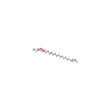 CCCCCCCCCCCCCCCCOOO[SiH3]